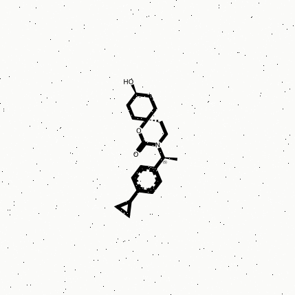 C[C@@H](c1ccc(C2CC2)cc1)N1CC[C@]2(CC[C@H](O)CC2)OC1=O